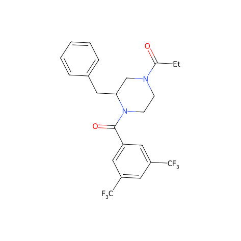 CCC(=O)N1CCN(C(=O)c2cc(C(F)(F)F)cc(C(F)(F)F)c2)C(Cc2ccccc2)C1